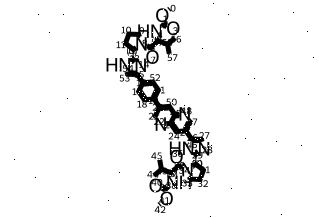 COC(=O)N[C@H](C(=O)N1CCC[C@H]1c1nc(-c2ccc(-c3cnc4cc(-c5cnc([C@@H]6CCCN6C(=O)[C@@H](NC(=O)OC)C(C)C)[nH]5)cnc4c3)cc2)c[nH]1)C(C)C